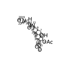 CC(=O)OC1CC2(O)C3CCC4CC(N(C)C(=O)NCCN5CCOCC5)CCC4(C)C3CCC2(C)C1C1=CC(=O)OC1